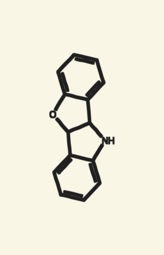 c1ccc2c(c1)NC1c3ccccc3OC21